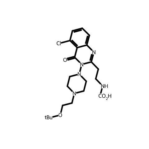 CC(C)(C)OCCN1CCN(n2c(CCNC(=O)O)nc3cccc(Cl)c3c2=O)CC1